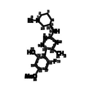 CCN1CCC[C@@H](Nc2nnc(-c3c(O)cc(OC)cc3F)c(C)n2)C1